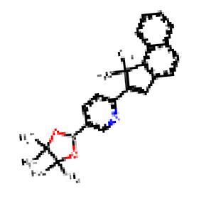 CC1(C)C(c2ccc(B3OC(C)(C)C(C)(C)O3)cn2)=Cc2ccc3ccccc3c21